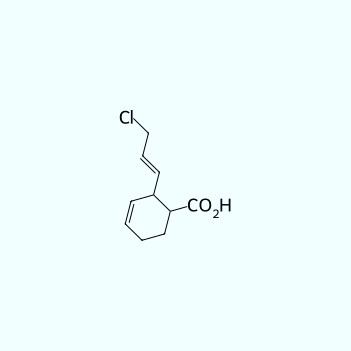 O=C(O)C1CCC=CC1C=CCCl